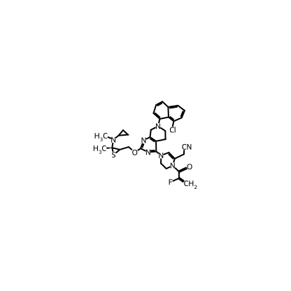 C=C(F)C(=O)N1CCN(c2nc(OCC3S[C@]3(C)N(C)C3CC3)nc3c2CCN(c2cccc4cccc(Cl)c24)C3)C=C1CC#N